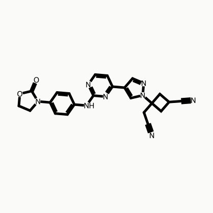 N#CCC1(n2cc(-c3ccnc(Nc4ccc(N5CCOC5=O)cc4)n3)cn2)CC(C#N)C1